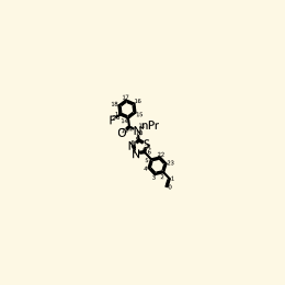 C=Cc1ccc(-c2nnc(N(CCC)C(=O)c3ccccc3F)s2)cc1